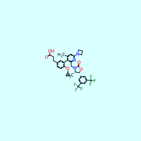 Cc1cc(N2CCC2)nc(CN2C(=O)O[C@H](c3cc(C(F)(F)F)cc(C(F)(F)F)c3)[C@@H]2C)c1-c1cc(CCC(=O)O)ccc1OC1CC1